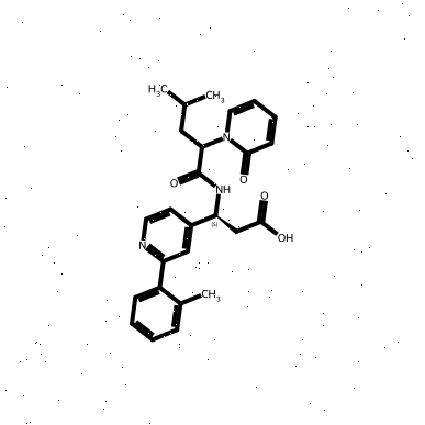 Cc1ccccc1-c1cc([C@H](CC(=O)O)NC(=O)C(CC(C)C)n2ccccc2=O)ccn1